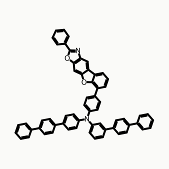 c1ccc(-c2ccc(-c3ccc(N(c4ccc(-c5cccc6c5oc5cc7oc(-c8ccccc8)nc7cc56)cc4)c4cccc(-c5ccc(-c6ccccc6)cc5)c4)cc3)cc2)cc1